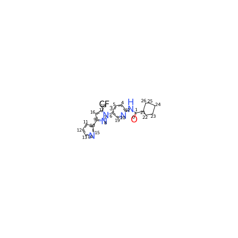 O=C(Nc1ccc(-n2nc(-c3cccnc3)cc2C(F)(F)F)cn1)C1CCCCC1